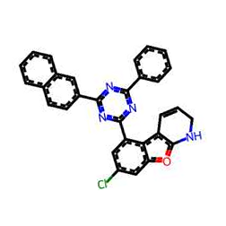 Clc1cc(-c2nc(-c3ccccc3)nc(-c3ccc4ccccc4c3)n2)c2c3c(oc2c1)NCC=C3